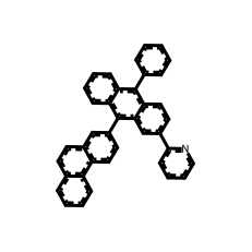 c1ccc(-c2c3ccccc3c(-c3ccc4c(ccc5ccccc54)c3)c3cc(-c4ccccn4)ccc23)cc1